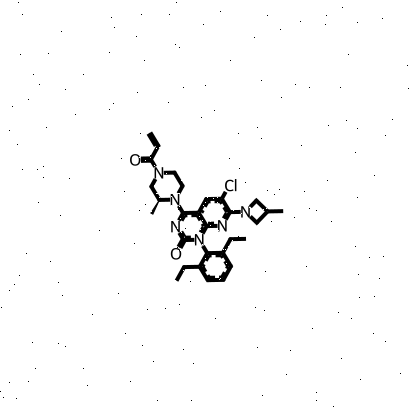 C=CC(=O)N1CCN(c2nc(=O)n(-c3c(CC)cccc3CC)c3nc(N4CC(C)C4)c(Cl)cc23)[C@@H](C)C1